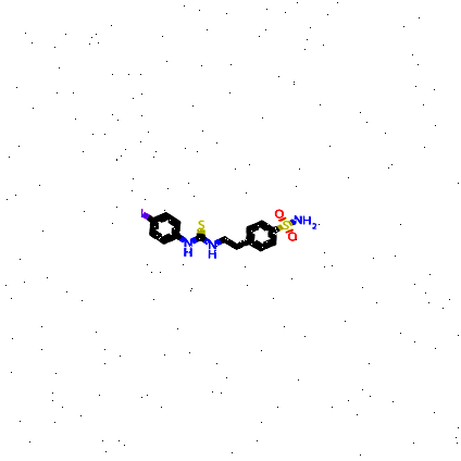 NS(=O)(=O)c1ccc(CCNC(=S)Nc2ccc(I)cc2)cc1